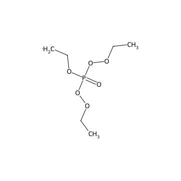 [CH2]COP(=O)(OOCC)OOCC